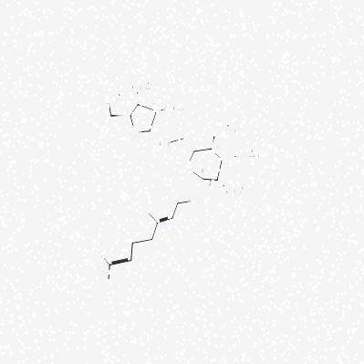 CC(=O)OC[C@@H]1O[C@@H](OC[C@H]2O[C@@H](OC/C=C(\C)CCC=C(C)C)[C@H](OC(C)=O)[C@@H](OC(C)=O)[C@@H]2OC(C)=O)[C@H](OC(C)=O)[C@H]1OC(C)=O